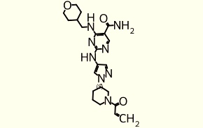 C=CC(=O)N1CCC[C@H](n2cc(Nc3ncc(C(N)=O)c(NCC4CCOCC4)n3)cn2)C1